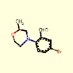 CC1CN(c2ccc(Br)cc2C=O)CCO1